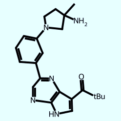 CC1(N)CCN(c2cccc(-c3cnc4[nH]cc(C(=O)C(C)(C)C)c4n3)c2)C1